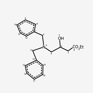 CCOC(=O)CC(O)CN(Cc1ccccc1)Cc1ccccc1